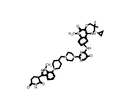 Cn1nc(C2CCC(=O)NC2=O)c2cccc(N3CCC(CN4CCN(c5ncc(Cl)c(Nc6ccc7c(c6)c6c(c(=O)n7C)OCC(F)(F)[C@H](C7CC7)N6)n5)CC4)CC3)c21